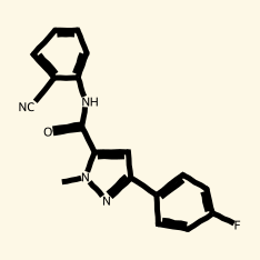 Cn1nc(-c2ccc(F)cc2)cc1C(=O)Nc1ccccc1C#N